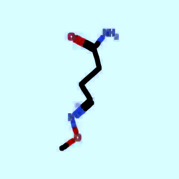 CO/N=C/CCC(N)=O